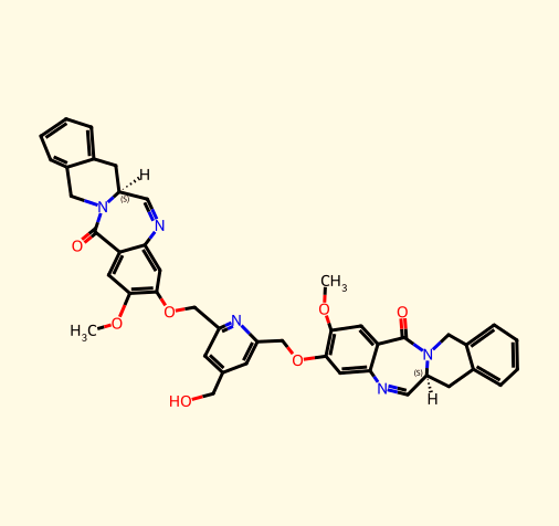 COc1cc2c(cc1OCc1cc(CO)cc(COc3cc4c(cc3OC)C(=O)N3Cc5ccccc5C[C@H]3C=N4)n1)N=C[C@@H]1Cc3ccccc3CN1C2=O